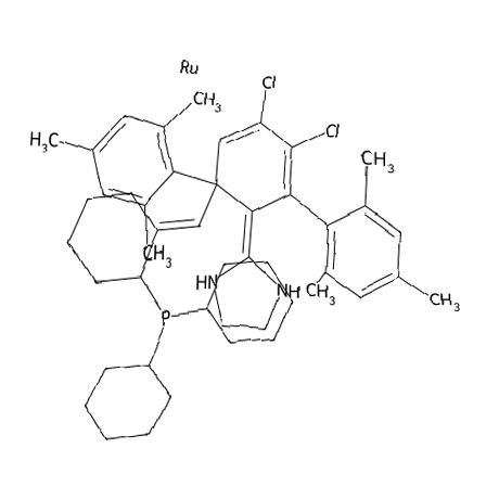 Cc1cc(C)c(C2=C(Cl)C(Cl)=CC(C=C3CCCCC3P(C3CCCCC3)C3CCCCC3)(c3c(C)cc(C)cc3C)C2=C2NCCN2)c(C)c1.[Ru]